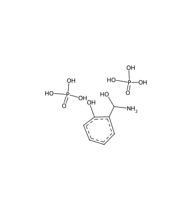 NC(O)c1ccccc1O.O=P(O)(O)O.O=P(O)(O)O